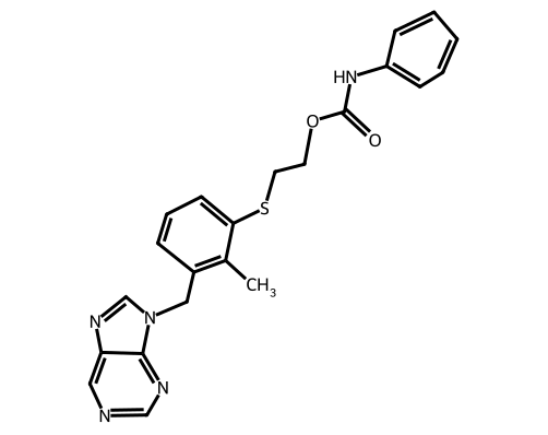 Cc1c(Cn2cnc3cncnc32)cccc1SCCOC(=O)Nc1ccccc1